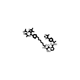 Cc1ncsc1-c1ccc(C(C)NC(=O)C2CCCN2C(=O)C(NC(=O)CCCCCCc2ccc(C3=NC(C)c4nnc(C)n4-c4sc(C)c(C)c43)cc2)C(C)(C)C)cc1